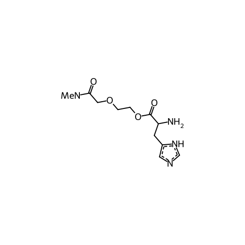 CNC(=O)COCCOC(=O)C(N)Cc1cnc[nH]1